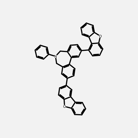 c1ccc(N2Cc3cc(-c4ccc5oc6ccccc6c5c4)ccc3-c3cc(-c4cccc5oc6ccccc6c45)ccc3C2)cc1